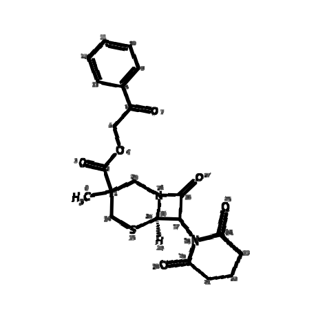 CC1(C(=O)OCC(=O)c2ccccc2)CS[C@@H]2C(N3C(=O)CCCC3=O)C(=O)N2C1